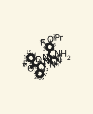 CC(C)Oc1ccc(-c2nn(C(C)c3oc4cccc(F)c4c(=O)c3-c3ccccc3)c3ncnc(N)c23)cc1F